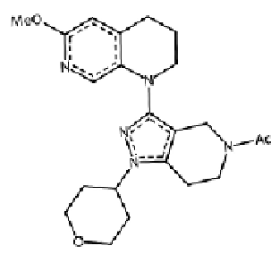 COc1cc2c(cn1)N(c1nn(C3CCOCC3)c3c1CN(C(C)=O)CC3)CCC2